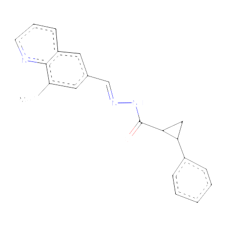 COc1cc(C=NNC(=O)C2CC2c2ccccc2)cc2cccnc12